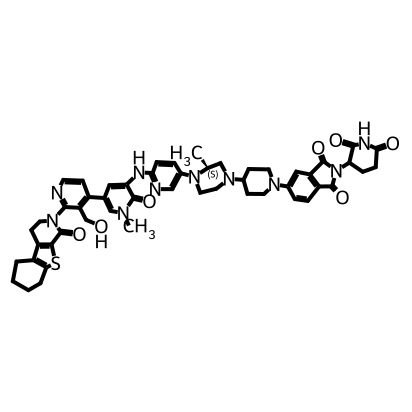 C[C@H]1CN(C2CCN(c3ccc4c(c3)C(=O)N(C3CCC(=O)NC3=O)C4=O)CC2)CCN1c1ccc(Nc2cc(-c3ccnc(N4CCc5c(sc6c5CCCC6)C4=O)c3CO)cn(C)c2=O)nc1